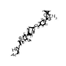 CC(=O)CNCCS(=O)(=O)N1CCN(c2cnc(OCC3CCN(C(=O)OC4(C)CC4)CC3)cn2)C(=O)C1